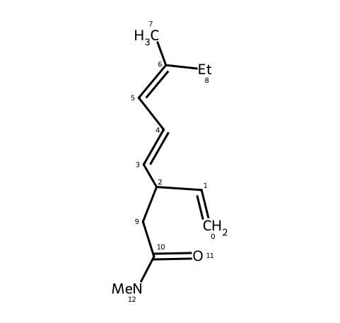 C=CC(/C=C/C=C(/C)CC)CC(=O)NC